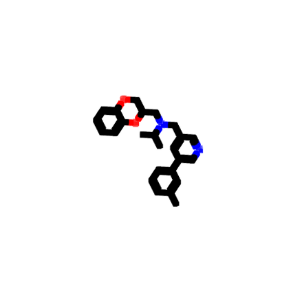 Cc1cccc(-c2cncc(CN(CC3COc4ccccc4O3)C(C)C)c2)c1